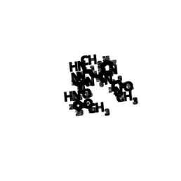 CNc1cc(-c2cn(C3CC(=O)N(C)C3)c3ncccc23)nc2c(C(=O)NC3CCC3OC)cnn12